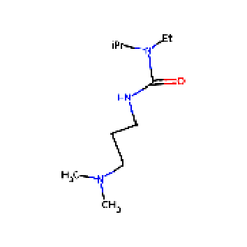 CCN(C(=O)NCCCN(C)C)C(C)C